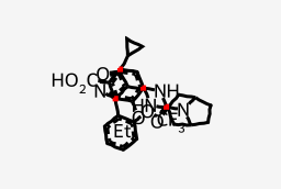 CCOc1cc(C(=O)O)ccc1NC(=O)N1C2CCC1CC(NCc1c(-c3ccccc3OC(F)(F)F)noc1C1CC1)C2